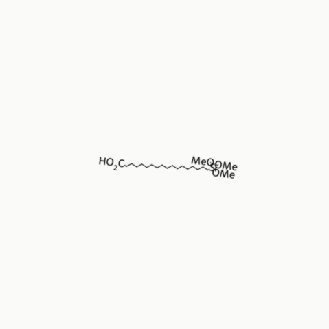 CO[Si](CCCCCCCCCCCCCCCCCC(=O)O)(OC)OC